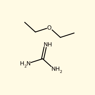 CCOCC.N=C(N)N